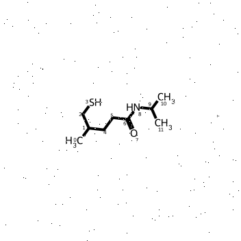 CC(CS)CCC(=O)NC(C)C